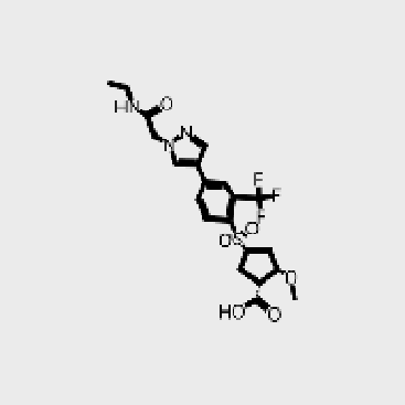 CCNC(=O)Cn1cc(-c2ccc(S(=O)(=O)[C@H]3C[C@@H](OC)[C@H](C(=O)O)C3)c(C(F)(F)F)c2)cn1